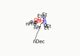 CCCCCCCCCCCCCCCCCCCCCCCCCC#CC(C=Nc1ccc(CC)c(CC)c1)=Nc1ccc(CC)c(CC)c1.CCCc1cc(CCC)c2cc(O)c(O)cc2c1.[Pd]